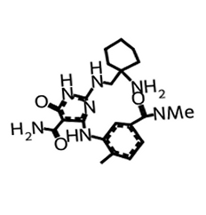 CNC(=O)c1ccc(C)c(Nc2nc(NCC3(N)CCCCC3)[nH]c(=O)c2C(N)=O)c1